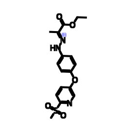 CCOC(=O)/C(C)=N/Nc1ccc(Oc2ccc(S(C)(=O)=O)nc2)cc1